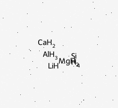 [AlH3].[CaH2].[LiH].[MgH2].[SiH4]